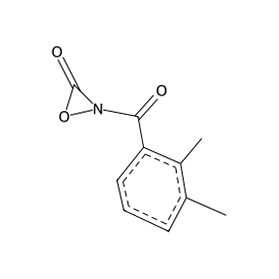 Cc1cccc(C(=O)N2OC2=O)c1C